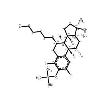 CC(C)(C)[Si](C)(C)Oc1c(Cl)cc2c(c1Cl)C[C@@H](CCCCCCl)[C@@H]1[C@@H]2[C@@H](F)C[C@@]2(C)[C@H]1CC[C@@]2(C)O